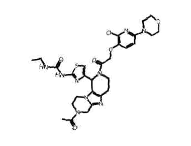 CCNC(=O)Nc1nc(C2c3c(nc4n3CCN(C(C)=O)C4)CCN2C(=O)COc2ccc(N3CCOCC3)nc2Cl)cs1